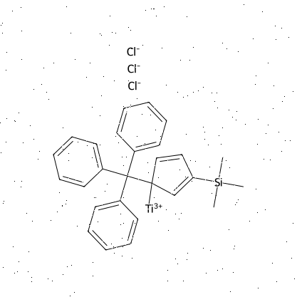 C[Si](C)(C)C1=C[C]([Ti+3])(C(c2ccccc2)(c2ccccc2)c2ccccc2)C=C1.[Cl-].[Cl-].[Cl-]